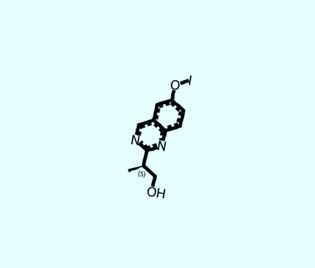 C[C@H](CO)c1ncc2cc(OI)ccc2n1